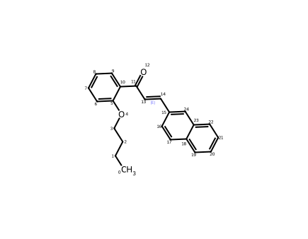 CCCCOc1ccccc1C(=O)/C=C/c1ccc2ccccc2c1